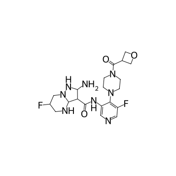 NC1NN2CC(F)CNC2C1C(=O)Nc1cncc(F)c1N1CCN(C(=O)C2COC2)CC1